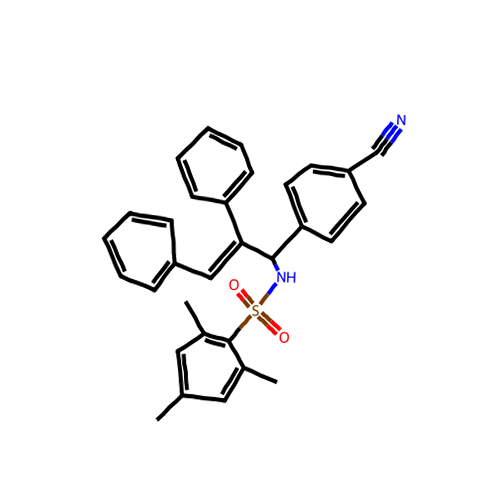 Cc1cc(C)c(S(=O)(=O)NC(C(=Cc2ccccc2)c2ccccc2)c2ccc(C#N)cc2)c(C)c1